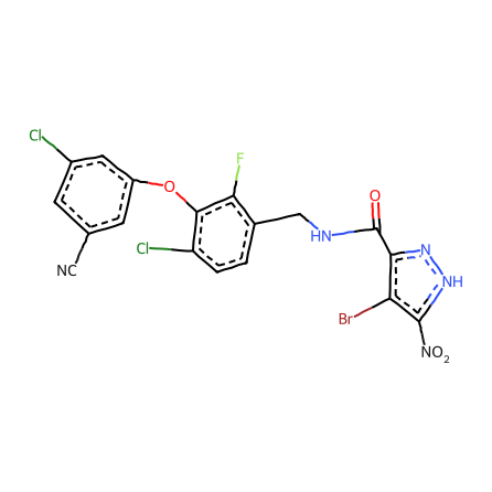 N#Cc1cc(Cl)cc(Oc2c(Cl)ccc(CNC(=O)c3n[nH]c([N+](=O)[O-])c3Br)c2F)c1